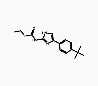 CCOC(=O)Nc1nc(-c2ccc(C(C)(C)C)cc2)c[nH]1